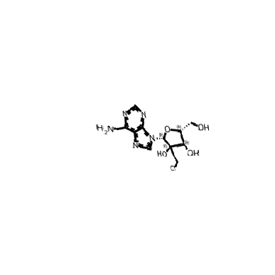 Nc1ncnc2c1ncn2[C@@H]1O[C@H](CO)[C@@H](O)[C@]1(O)CCl